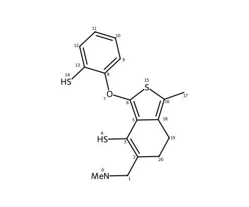 CNCC1=C(S)c2c(Oc3ccccc3S)sc(C)c2CC1